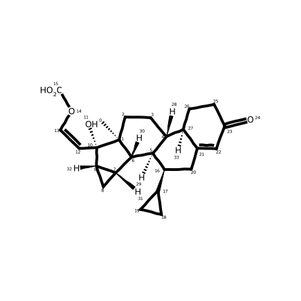 C[C@]12CC[C@H]3[C@H]([C@@H]1[C@@H]1C[C@@H]1[C@@]2(O)/C=C\OC(=O)O)[C@H](C1CC1)CC1=CC(=O)CC[C@@H]13